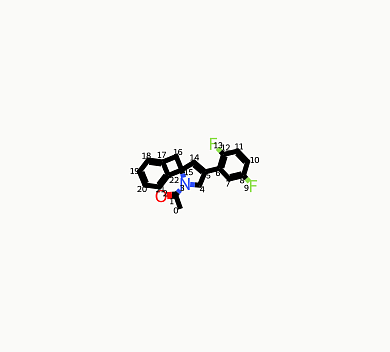 CC(=O)N1CC(c2cc(F)ccc2F)=CC12Cc1ccccc12